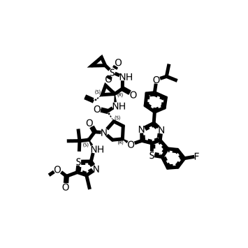 C=C[C@@H]1C[C@]1(NC(=O)[C@@H]1C[C@@H](Oc2nc(-c3ccc(OC(C)C)cc3)nc3c2sc2ccc(F)cc23)CN1C(=O)[C@@H](Nc1nc(C)c(C(=O)OC)s1)C(C)(C)C)C(=O)NS(=O)(=O)C1CC1